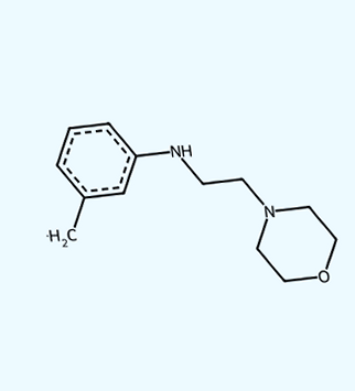 [CH2]c1cccc(NCCN2CCOCC2)c1